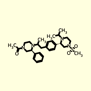 CC(=O)N1CCN(C(C)Cc2ccc([C@H]3CN(S(C)(=O)=O)CCN3C(C)C)cc2)[C@@H](c2ccccc2)C1